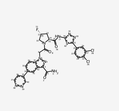 NC(=O)c1nn(CC(=O)N2C[C@H](F)C[C@H]2C(=O)Nc2nnc(-c3ccc(Cl)c(Cl)c3)s2)c2ccc(-c3ccnnc3)cc12